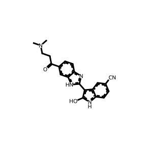 CN(C)CCC(=O)c1ccc2nc(-c3c(O)[nH]c4ccc(C#N)cc34)[nH]c2c1